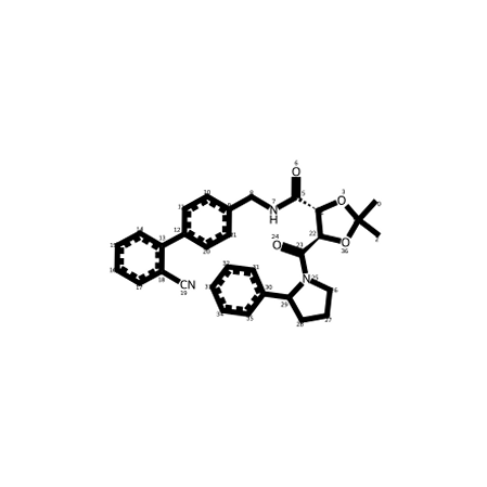 CC1(C)O[C@@H](C(=O)NCc2ccc(-c3ccccc3C#N)cc2)[C@H](C(=O)N2CCCC2c2ccccc2)O1